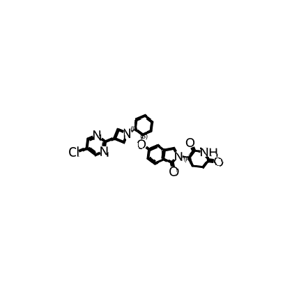 O=C1CC[C@@H](N2Cc3cc(O[C@H]4CCCC[C@H]4N4CC(c5ncc(Cl)cn5)C4)ccc3C2=O)C(=O)N1